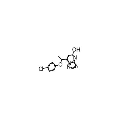 CC(Oc1ccc(Cl)cc1)c1cc(O)nc2ncnn12